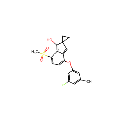 CS(=O)(=O)c1ccc(Oc2cc(F)cc(C#N)c2)c2c1=C(O)C1(C=2)CC1